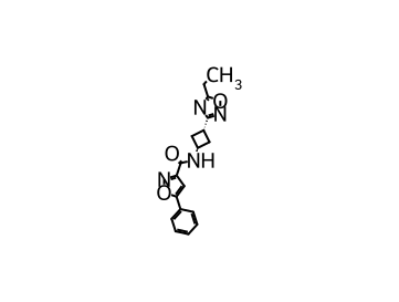 CCc1nc([C@H]2C[C@@H](NC(=O)c3cc(-c4ccccc4)on3)C2)no1